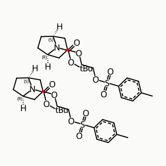 Cc1ccc(S(=O)(=O)OCCOC2C[C@H]3CC[C@@H](C2)N3C(=O)OC(C)(C)C)cc1.Cc1ccc(S(=O)(=O)OCCOC2C[C@H]3CC[C@@H](C2)N3C(=O)OC(C)(C)C)cc1